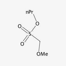 CCCOS(=O)(=O)COC